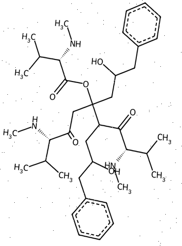 CN[C@H](C(=O)CC(CC(O)Cc1ccccc1)(OC(=O)[C@@H](NC)C(C)C)[C](CC(O)Cc1ccccc1)C(=O)[C@@H](NC)C(C)C)C(C)C